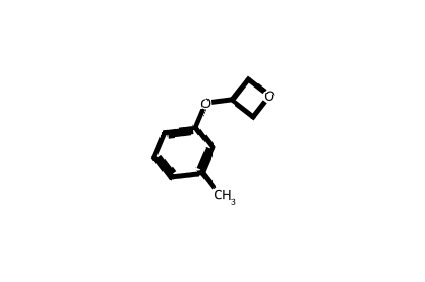 Cc1cccc(OC2COC2)c1